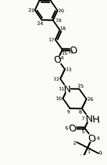 CC(C)(C)OC(=O)NC1CCN(CCOC(=O)C=Cc2ccccc2)CC1